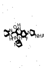 CC(=O)N[C@H]1CCN(c2cc3[nH]c(=O)c(-c4nc5ccccc5[nH]4)c(N[C@H]4CN5CCC4CC5)c3cc2F)C1